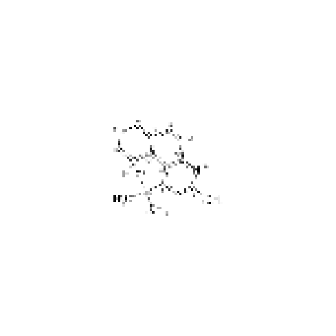 Cc1cc([Si](C)(C)C)c2c(ccc3ccccc32)n1